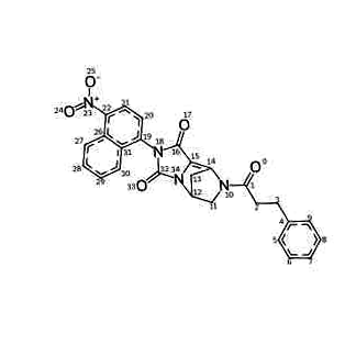 O=C(CCc1ccccc1)N1CC2CC1=C1C(=O)N(c3ccc([N+](=O)[O-])c4ccccc34)C(=O)N12